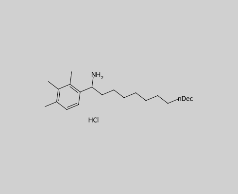 CCCCCCCCCCCCCCCCCC(N)c1ccc(C)c(C)c1C.Cl